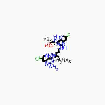 CCCCC(C)(CO)Nc1nc(NCCCC(C)(CNC(C)=O)Nc2nc(N)nc3cc(Cl)cnc23)nc2cc(F)cnc12